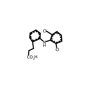 O=C(O)CCc1ccccc1Nc1c(Cl)cccc1Cl